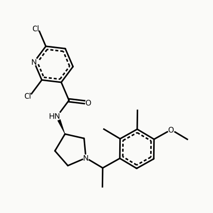 COc1ccc(C(C)N2CC[C@@H](NC(=O)c3ccc(Cl)nc3Cl)C2)c(C)c1C